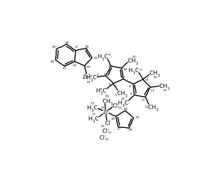 CC1=C(C)C(C)(C)C(C2=C(C)C(C)=C(C)C2(C)C)=C1C.[CH3][Zr]([CH3])([CH3])([Cl])([Cl])[C]1=CC=CC1.[Cl-].[Cl-].[Zr+2][CH]1C=Cc2ccccc21